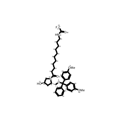 COc1ccc(C(OC[C@@H]2C[C@@H](O)CN2C(=O)CCCCCCCCCCNC(=O)C(F)(F)F)(c2ccccc2)c2ccc(OC)cc2)cc1